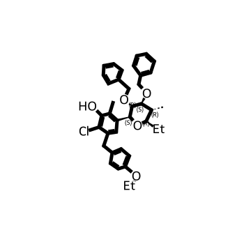 CCOc1ccc(Cc2cc([C@@H]3O[C@H](CC)[C@@H](C)[C@H](OCc4ccccc4)[C@H]3OCc3ccccc3)c(C)c(O)c2Cl)cc1